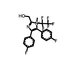 C[N+]1(C(F)(F)C(F)(F)F)C(CO)=NC(c2ccc(F)cc2)=C1c1ccc(F)cc1